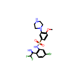 COc1ccc(S(=O)(=O)Nc2cc(Br)ccc2C(=N)C(F)F)cc1N1CCNCC1